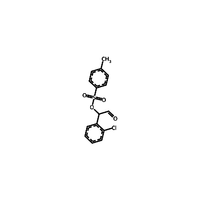 Cc1ccc(S(=O)(=O)OC(C=O)c2ccccc2Cl)cc1